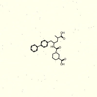 CC(CC(Cc1ccc(-c2ccccc2)cc1)NC(=O)N1CCCC(C(=O)O)C1)C(=O)O